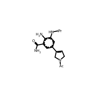 CC(=O)N1CC=C(c2cc(NC(C)C)c(N)c(C(N)=O)c2)C1